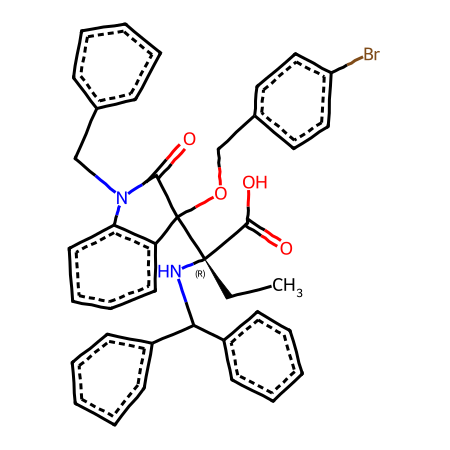 CC[C@](NC(c1ccccc1)c1ccccc1)(C(=O)O)C1(OCc2ccc(Br)cc2)C(=O)N(Cc2ccccc2)c2ccccc21